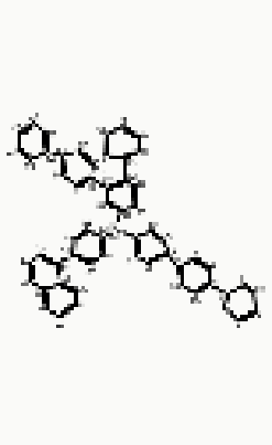 C1=CCC(c2ccc(-c3ccc(N(c4ccc(-c5cccc6ccccc56)cc4)c4ccc(-c5ccccc5)c(-c5ccc(-c6ccccc6)cc5)c4)cc3)cc2)C=C1